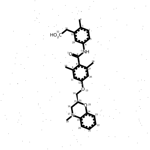 Cc1ccc(NC(=O)c2c(C)cc(OC[C@@H]3CN(C)c4ccccc4O3)cc2C)cc1CC(=O)O